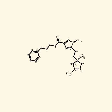 Cn1cc(C(=O)CCCCc2ccccc2)cc1CC[C@]1(C)COC(C=O)N1